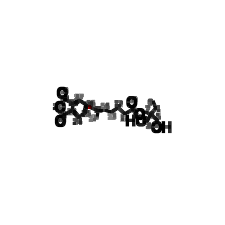 CCC(CO)(CO)COC(=O)CCCCC(C)C.O=C1OC(=O)c2ccccc21